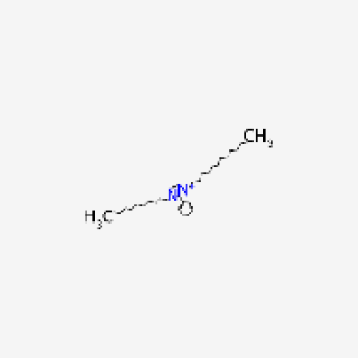 CCCCCCCCCCCCCC[n+]1ccn(CCCCCCCCCCC)c1-c1ccccc1